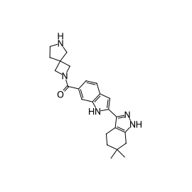 CC1(C)CCc2c(-c3cc4ccc(C(=O)N5CC6(CCNC6)C5)cc4[nH]3)n[nH]c2C1